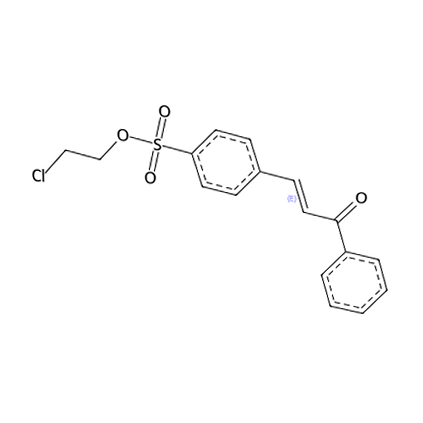 O=C(/C=C/c1ccc(S(=O)(=O)OCCCl)cc1)c1ccccc1